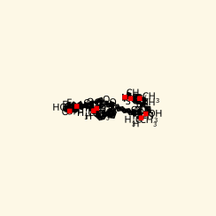 Cc1ncsc1-c1ccc([C@H](C)NC(=O)[C@@H]2C[C@@H](O)CN2C(=O)C(NC(=O)CCCCCCNC(=O)CC(=O)N2CCN(C(=O)C(NC(=O)c3cc4cc(C(F)(F)P(=O)(O)O)ccc4s3)C(C)(C)C)C(C(=O)N3CCCC(c4ccccc4)C3)C2)C(C)(C)C)cc1